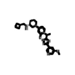 COc1cncc(-c2noc(C(C)n3ccc(N4CCC[C@@H](NCC5CCC5)C4)cc3=O)n2)c1